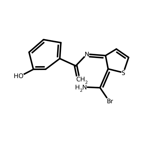 C=C(/N=C1/C=CS/C1=C(/N)Br)c1cccc(O)c1